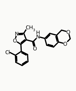 Cc1noc(-c2ccccc2Cl)c1C(=O)Nc1ccc2c(c1)COCO2